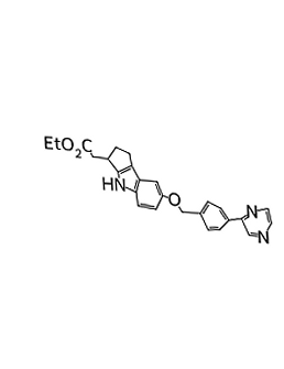 CCOC(=O)CC1CCc2c1[nH]c1ccc(OCc3ccc(-c4cnccn4)cc3)cc21